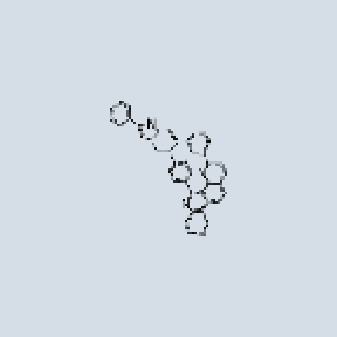 C1=CC2=NC(c3ccccc3)=CC2C=C1c1ccc(-c2nc3ccccc3c3ccc4ccc(-c5ccccc5)nc4c23)cc1